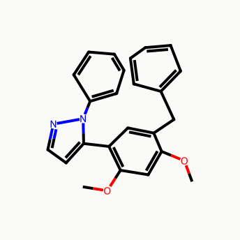 COc1cc(OC)c(-c2ccnn2-c2ccccc2)cc1Cc1ccccc1